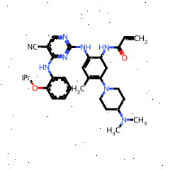 C=CC(=O)NC1CC(N2CCC(N(C)C)CC2)=C(C)C=C1Nc1ncc(C#N)c(Nc2ccccc2OC(C)C)n1